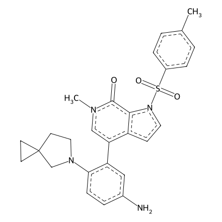 Cc1ccc(S(=O)(=O)n2ccc3c(-c4cc(N)ccc4N4CCC5(CC5)C4)cn(C)c(=O)c32)cc1